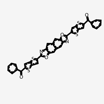 O=C(c1ccccc1)c1cc2sc(-c3nc4cc5cc6oc(-c7cc8sc(C(=O)c9ccccc9)cc8s7)nc6cc5cc4o3)cc2s1